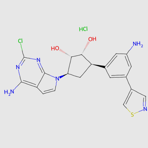 Cl.Nc1cc(-c2cnsc2)cc([C@H]2C[C@@H](n3ccc4c(N)nc(Cl)nc43)[C@H](O)[C@@H]2O)c1